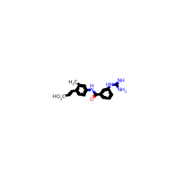 Cc1cc(NC(=O)c2cccc(NC(=N)N)c2)ccc1C=CC(=O)O